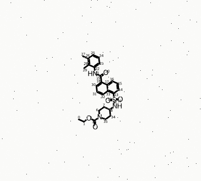 CCOC(=O)N1CCC(NS(=O)(=O)c2cccc3c(C(=O)Nc4cccc(C)c4C)cccc23)CC1